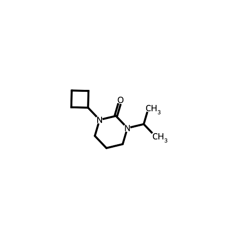 CC(C)N1CCCN(C2CCC2)C1=O